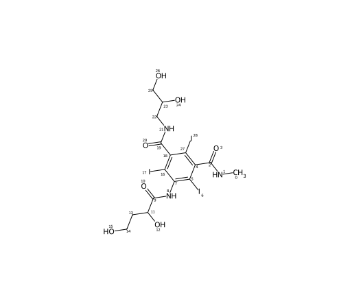 CNC(=O)c1c(I)c(NC(=O)C(O)CCO)c(I)c(C(=O)NCC(O)CO)c1I